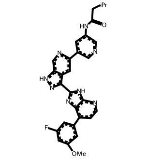 COc1cc(F)cc(-c2ccnc3[nH]c(-c4n[nH]c5cnc(-c6cncc(NC(=O)CC(C)C)c6)cc45)nc23)c1